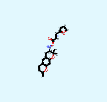 C=C1C=Cc2cc3c(cc2O1)OC(C)(C)[C@@H](NOC(=O)/C=C/c1ccco1)C3